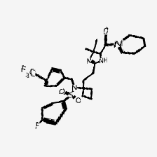 CC1(C)N=C(CCC2(N(Cc3ccc(C(F)(F)F)cc3)S(=O)(=O)c3ccc(F)cc3)CCC2)NC1C(=O)N1CCCCC1